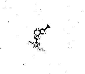 CC(C)n1nc(N)nc1-c1cn2c(n1)-c1cnc(C3CC3)cc1OCC2